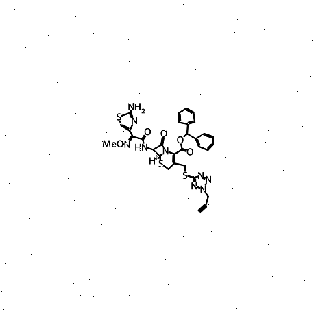 C#CCn1nnc(SCC2=C(C(=O)OC(c3ccccc3)c3ccccc3)N3C(=O)C(NC(=O)C(=NOC)c4csc(N)n4)[C@@H]3SC2)n1